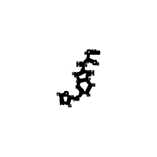 COC(=O)Nc1nc2cc(Sc3cnco3)ccc2[nH]1